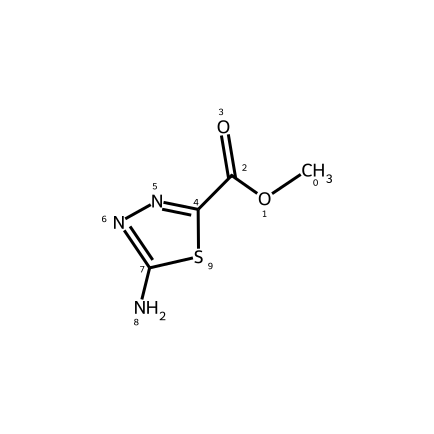 COC(=O)c1nnc(N)s1